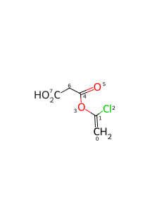 C=C(Cl)OC(=O)CC(=O)O